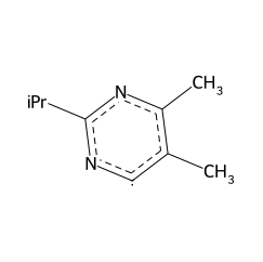 Cc1[c]nc(C(C)C)nc1C